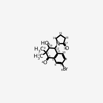 CC1(C)C(=O)c2cc(Br)ccc2C(N2CCCC2=O)C1O